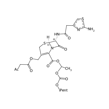 CCCC(C)OC(=O)OC(C)OC(=O)C1=C(COC(=O)CC(C)=O)CS[C@H]2[C@H](NC(=O)Cc3csc(N)n3)C(=O)N12